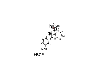 O=C(Oc1cccc(CCCO)c1)C1([C@@H]2CN3CCC2CC3)CCCCC1